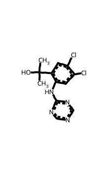 CC(C)(O)c1cc(Cl)c(Cl)cc1Nc1ncncn1